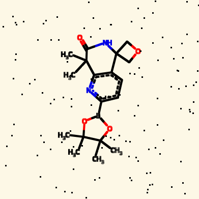 CC1(C)C(=O)NC2(COC2)c2ccc(B3OC(C)(C)C(C)(C)O3)nc21